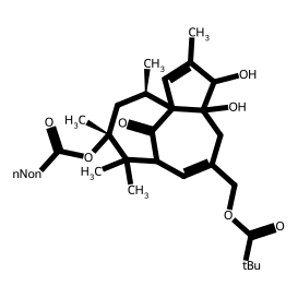 CCCCCCCCCC(=O)O[C@]1(C)C[C@@H](C)C23C=C(C)C(O)C2(O)CC(COC(=O)C(C)(C)C)=CC(C3=O)C1(C)C